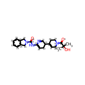 CC(C)(O)C(=O)N1CC=C(C2C=NC(NC(=O)N3Cc4ccccc4C3)=CC2)CC1